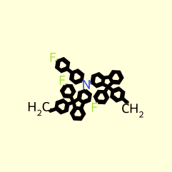 C=Cc1ccc(C2(c3ccc(F)cc3)c3ccccc3-c3ccc(N(c4ccc(-c5ccc(F)cc5)cc4)c4ccc5c(c4)C(c4ccc(F)cc4)(c4ccc(C=C)cc4)c4ccccc4-5)cc32)cc1